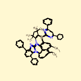 Cc1ccc2c3c1c(C)cc1c3n(c3nc4c(-c5ccccc5)ccc(-c5ccccc5)c4n23)C2=C(B1c1nc(-c3ccccc3)cc(-c3ccccc3)n1)C(C)(C)CC2(C)C